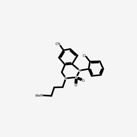 [C-]#[N+]c1ccc2c(c1)CN(CCCNC)S(=O)(=O)N2c1ccccc1Cl